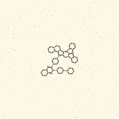 c1ccc(-c2ccc(-c3nc4ccccc4nc3-c3ccc(-n4c5cc6c7ccccc7n7c8ccccc8c(c5c5ccc8ccccc8c54)c67)cc3)cc2)cc1